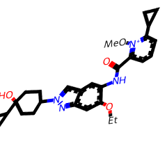 CCOc1cc2nn(C3CCC(O)(C4CC4)CC3)cc2cc1NC(=O)c1cccc(C2CC2)[n+]1OC